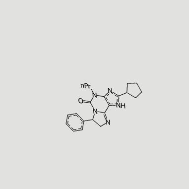 CCCN1C(=O)N2C(=NCC2c2ccccc2)c2[nH]c(C3CCCC3)nc21